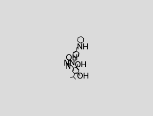 CC(C)c1cc(-c2nnc(O)n2Cc2ccc(CNC3CCCCC3)cc2)c(O)cc1O